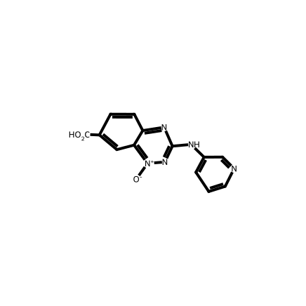 O=C(O)c1ccc2nc(Nc3cccnc3)n[n+]([O-])c2c1